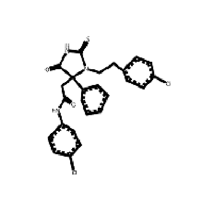 O=C(CC1(c2ccccc2)C(=O)NC(=S)N1CCc1ccc(Cl)cc1)Nc1ccc(Cl)cc1